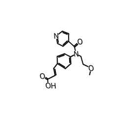 COCCN(C(=O)c1ccncc1)c1ccc(/C=C/C(=O)O)cc1